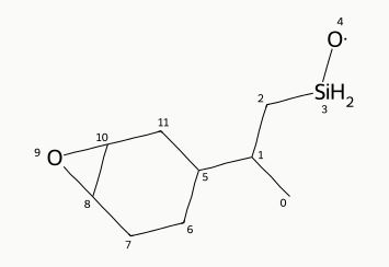 CC(C[SiH2][O])C1CCC2OC2C1